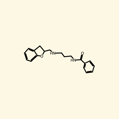 O=C(NCCCNCC1Cc2ccccc2O1)c1ccccc1